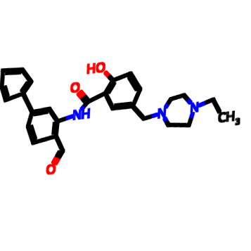 CCN1CCN(Cc2ccc(O)c(C(=O)Nc3cc(-c4ccccc4)ccc3C=O)c2)CC1